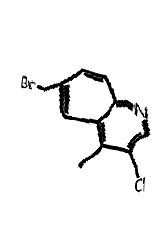 Cc1c(Cl)cnc2ccc(Br)cc12